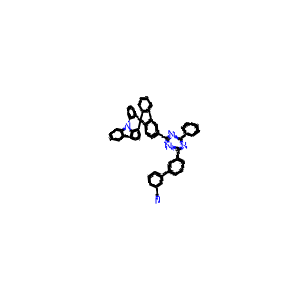 N#Cc1cccc(-c2cccc(-c3nc(-c4ccccc4)nc(-c4ccc5c(c4)-c4ccccc4C54c5ccccc5-n5c6ccccc6c6cccc4c65)n3)c2)c1